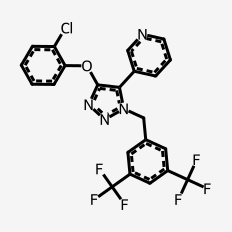 FC(F)(F)c1cc(Cn2nnc(Oc3ccccc3Cl)c2-c2cccnc2)cc(C(F)(F)F)c1